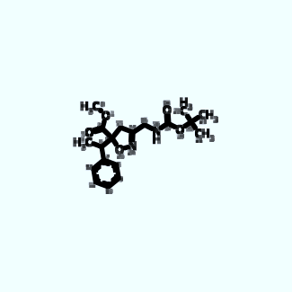 COC(=O)C1(C(C)c2ccccc2)CC(CNC(=O)OC(C)(C)C)=NO1